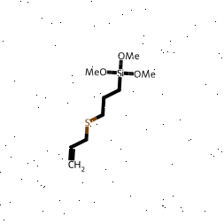 C=CCSCCC[Si](OC)(OC)OC